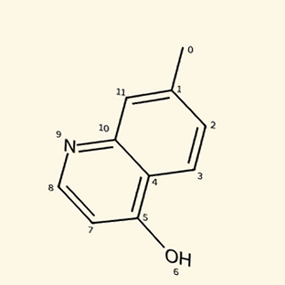 Cc1ccc2c(O)ccnc2c1